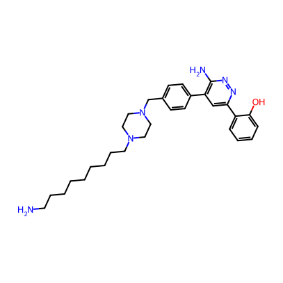 NCCCCCCCCCN1CCN(Cc2ccc(-c3cc(-c4ccccc4O)nnc3N)cc2)CC1